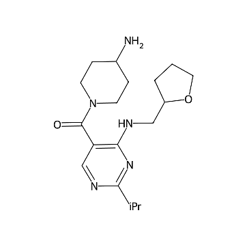 CC(C)c1ncc(C(=O)N2CCC(N)CC2)c(NCC2CCCO2)n1